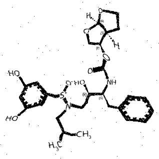 CC(C)CN(C[C@@H](O)[C@H](Cc1ccccc1)NC(=O)O[C@H]1CO[C@H]2OCC[C@H]21)[S+]([O-])c1cc(O)cc(O)c1